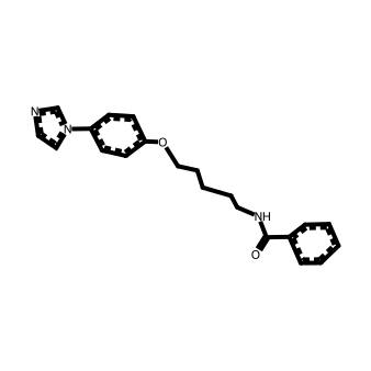 O=C(NCCCCCOc1ccc(-n2ccnc2)cc1)c1ccccc1